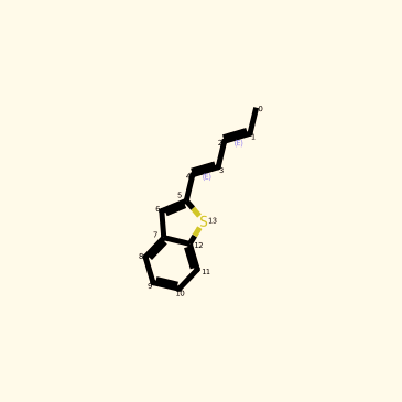 C/C=C/C=C/c1cc2ccccc2s1